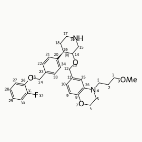 COCCCN1CCOc2ccc(COC3CNCC[C@@H]3c3ccc(COc4ccccc4F)cc3)cc21